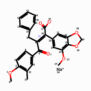 COc1ccc(C(=O)/C(Cc2ccccc2)=C(/C(=O)[O-])c2cc(OC)c3c(c2)OCO3)cc1C.[Na+]